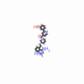 CN1N=C(N)c2c(CC[C@H]3CCCN(C(=O)c4ccnc(-c5cccc(O)c5)c4)C3)cccc2N1